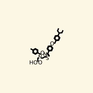 CCC(CC)c1ccc(COc2ccc(-c3csc(CN(CC(=O)O)C(=O)c4ccc(C)cc4)n3)cc2)cc1